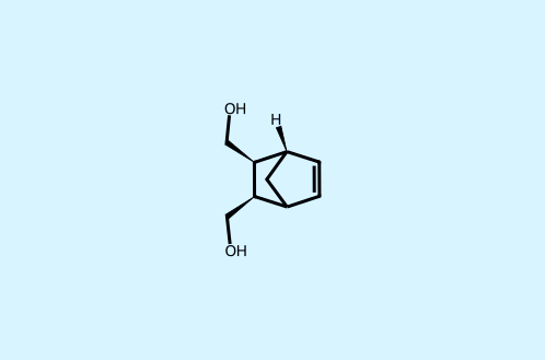 OC[C@H]1[C@@H]2C=CC(C2)[C@H]1CO